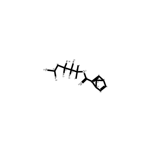 CC(C)(OC(=O)C1=CC2C=CC1C2)C(F)(F)C(F)(F)CC(F)F